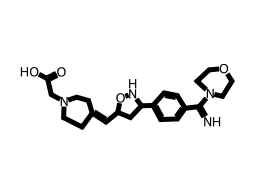 N=C(c1ccc(C2CC(C=C3CCN(CC(=O)O)CC3)ON2)cc1)N1CCOCC1